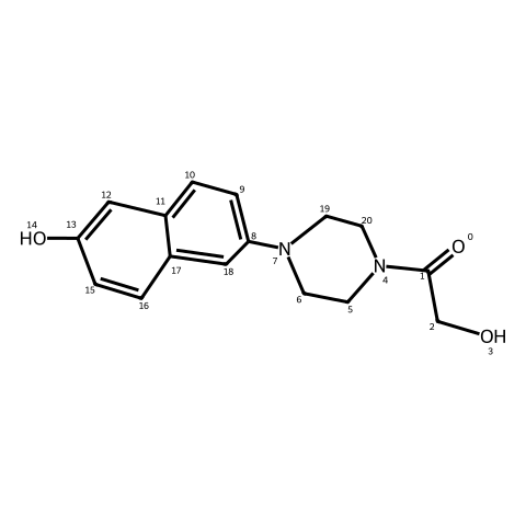 O=C(CO)N1CCN(c2ccc3cc(O)ccc3c2)CC1